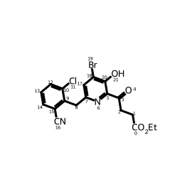 CCOC(=O)CCC(=O)c1nc(Cc2c(Cl)cccc2C#N)cc(Br)c1O